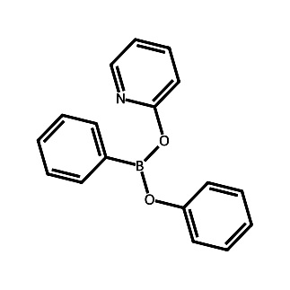 c1ccc(OB(Oc2ccccn2)c2ccccc2)cc1